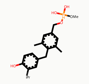 CO[PH](O)(O)OCc1cc(C)c(Cc2ccc(O)c(C(C)C)c2)c(C)c1